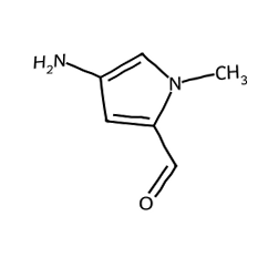 Cn1cc(N)cc1C=O